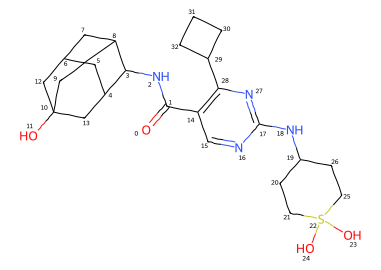 O=C(NC1C2CC3CC1CC(O)(C3)C2)c1cnc(NC2CCS(O)(O)CC2)nc1C1CCC1